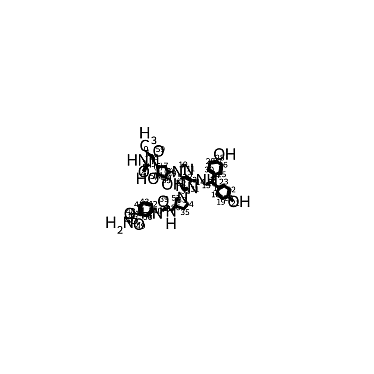 CC1NC(=O)N([C@H]2C[C@@H](n3cnc4c(NCC(c5ccc(O)cc5)c5ccc(O)cc5)nc(N5CCC(NC(=O)Nc6cccc(S(N)(=O)=O)c6)C5)nc43)[C@H](O)[C@@H]2O)C1=O